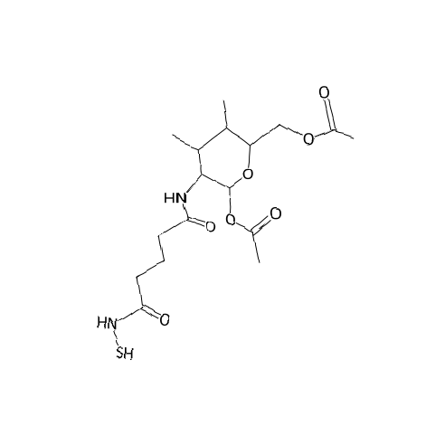 CC(=O)OCC1OC(OC(C)=O)C(NC(=O)CCCC(=O)NS)C(C)C1C